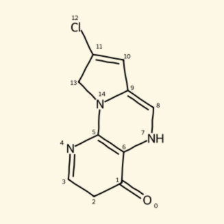 O=C1CC=NC2=C1NC=C1C=C(Cl)CN12